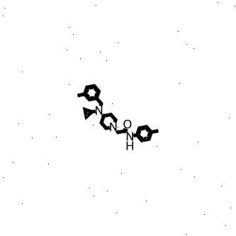 Cc1ccc(NC(=O)CN2CCC(N(Cc3cccc(C)c3)C3CC3)CC2)cc1